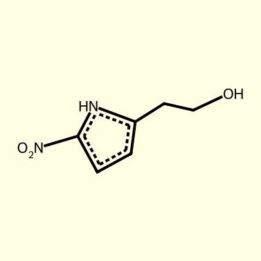 O=[N+]([O-])c1ccc(CCO)[nH]1